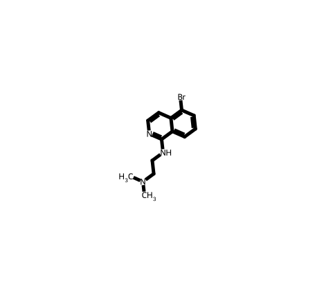 CN(C)CCNc1nccc2c(Br)cccc12